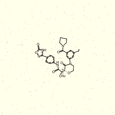 CC(=O)O[C@@H](C(=O)Nc1ccc(-c2noc(=O)[nH]2)cc1)[C@H]1OCCN(c2cc(F)cc(C(=O)N3CCCC3)c2)C1=O